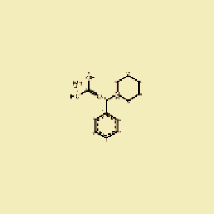 O=C(O)O.[Mn].c1ccc(CN2CCCCC2)cc1